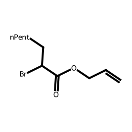 C=CCOC(=O)C(Br)CCCCCC